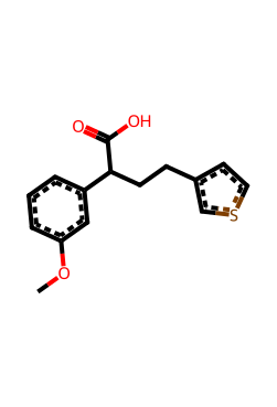 COc1cccc(C(CCc2ccsc2)C(=O)O)c1